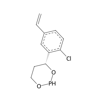 C=Cc1ccc(Cl)c([C@H]2CCOPO2)c1